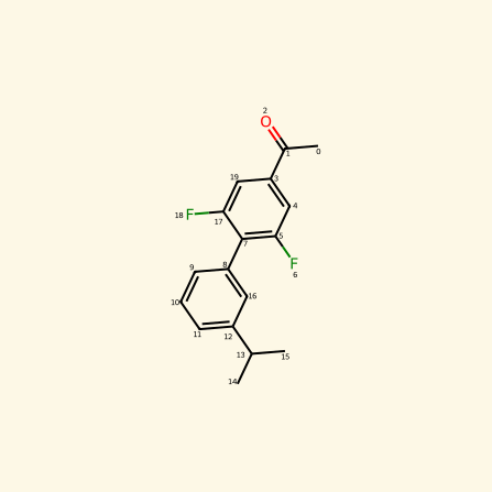 CC(=O)c1cc(F)c(-c2cccc(C(C)C)c2)c(F)c1